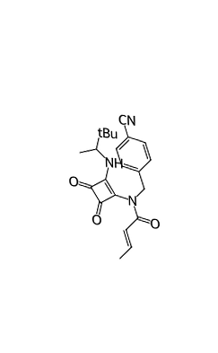 CC=CC(=O)N(Cc1ccc(C#N)cc1)c1c(NC(C)C(C)(C)C)c(=O)c1=O